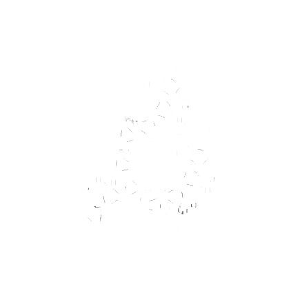 CCC(C)(CC)c1ccc(S(=O)(=O)c2ccc(Oc3ccc(S(=O)(=O)c4ccc(O)c(C5=CC(C)(C)C(COO)=C(C6=CC(C)(C)C(COO)=C(C7=CC(C)(C)C(COO)=CC=C7O)C=C6O)C=C5O)c4)cc3)c(C3=CC(C)(C)C(COO)=C(C4=CC(C)(C)C(COO)=CC=C4O)C=C3O)c2)cc1C1=CC(C)(C)C(COO)=C(C2=CC(C)(C)C(COO)=C(C3=CC(C)(C)C(COO)=CC=C3O)C=C2O)C=C1O